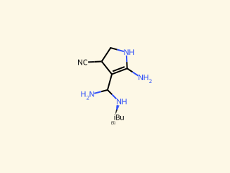 CC[C@H](C)NC(N)C1=C(N)NCC1C#N